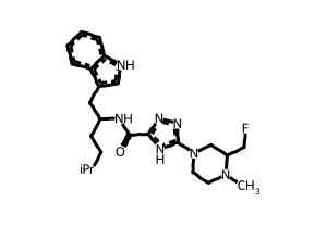 CC(C)CCC(Cc1c[nH]c2ccccc12)NC(=O)c1nnc(N2CCN(C)C(CF)C2)[nH]1